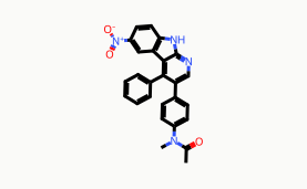 CC(=O)N(C)c1ccc(-c2cnc3[nH]c4ccc([N+](=O)[O-])cc4c3c2-c2ccccc2)cc1